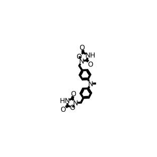 CN(c1ccc(Cn2oc(=O)[nH]c2=O)cc1)c1ccc(Cn2oc(=O)[nH]c2=O)cc1